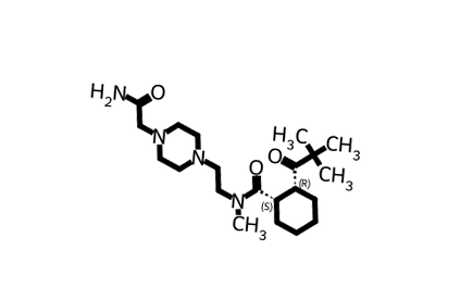 CN(CCN1CCN(CC(N)=O)CC1)C(=O)[C@H]1CCCC[C@H]1C(=O)C(C)(C)C